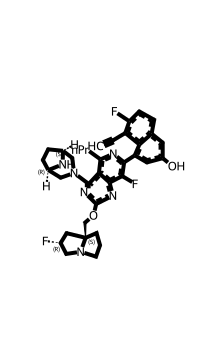 C#Cc1c(F)ccc2cc(O)cc(-c3nc(CCC)c4c(N5C[C@H]6CC[C@@H](C5)N6)nc(OC[C@@]56CCCN5C[C@H](F)C6)nc4c3F)c12